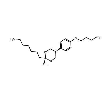 CCCCCCC[C@]1(C)OC[C@@H](c2ccc(OCCCC)cc2)CO1